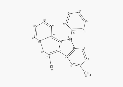 Cc1ccc2c(c1)c1c(n2-c2ccccc2)=C2C=CC=CC2CC=1Cl